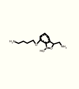 NCCCCOc1cccc2c1B(O)OC2CN